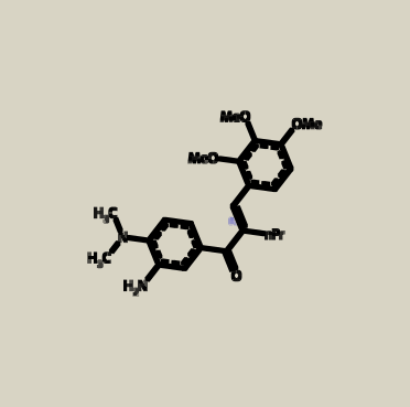 CCC/C(=C\c1ccc(OC)c(OC)c1OC)C(=O)c1ccc(N(C)C)c(N)c1